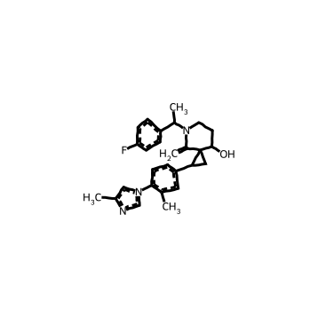 C=C1N(C(C)c2ccc(F)cc2)CCC(O)C12CC2c1ccc(-n2cnc(C)c2)c(C)c1